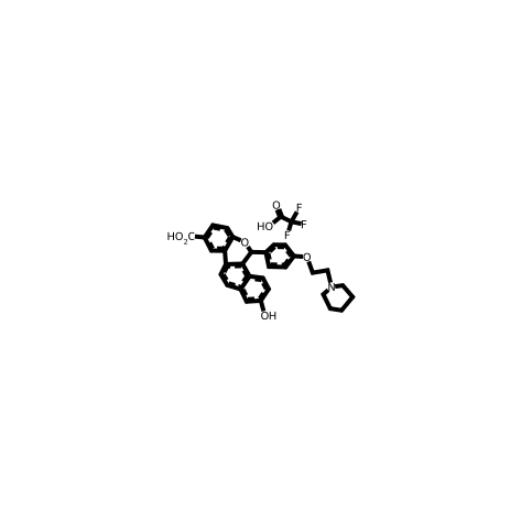 O=C(O)C(F)(F)F.O=C(O)c1ccc2c(c1)-c1ccc3cc(O)ccc3c1C(c1ccc(OCCN3CCCCC3)cc1)O2